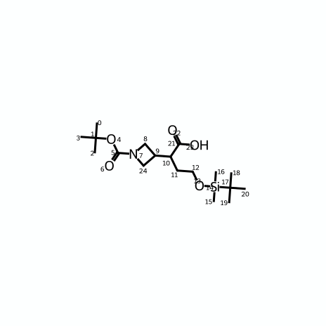 CC(C)(C)OC(=O)N1CC(C(CCO[Si](C)(C)C(C)(C)C)C(=O)O)C1